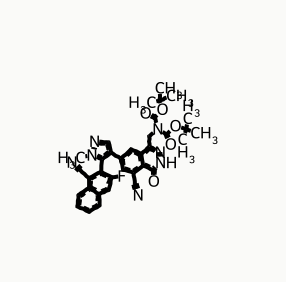 Cn1ncc(-c2cc(C#N)c3c(=O)[nH]nc(CN(C(=O)OC(C)(C)C)C(=O)OC(C)(C)C)c3c2)c1-c1c(F)cc2ccccc2c1C#N